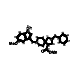 CCCn1cc(CN2CCC3(CC2)CN(Cc2ccccc2)CC3C(=O)OC)c2cc(OC)ccc21